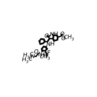 COC(=O)c1ccc2c(c1)NC(=O)C2=C(Nc1ccc(N(C)C(=O)CN(C)C)c(C(F)(F)F)c1)c1ccccc1